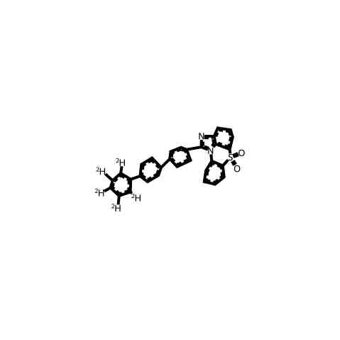 [2H]c1c([2H])c([2H])c(-c2ccc(-c3ccc(-c4nc5cccc6c5n4-c4ccccc4S6(=O)=O)cc3)cc2)c([2H])c1[2H]